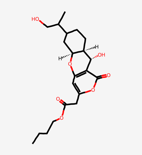 CCCCOC(=O)Cc1cc2c(c(=O)o1)[C@@H](O)[C@@H]1CCC(C(C)CO)C[C@@H]1O2